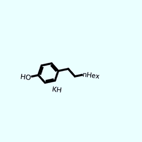 CCCCCCCCc1ccc(O)cc1.[KH]